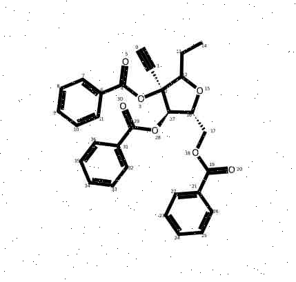 C#C[C@]1(OC(=O)c2ccccc2)C(CC)O[C@H](COC(=O)c2ccccc2)[C@H]1OC(=O)c1ccccc1